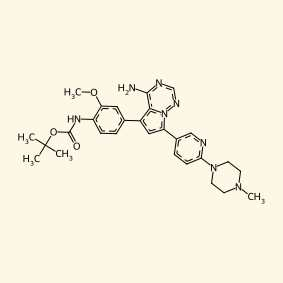 COc1cc(-c2cc(-c3ccc(N4CCN(C)CC4)nc3)n3ncnc(N)c23)ccc1NC(=O)OC(C)(C)C